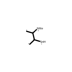 CNC(C)[CH](C)[SnH]